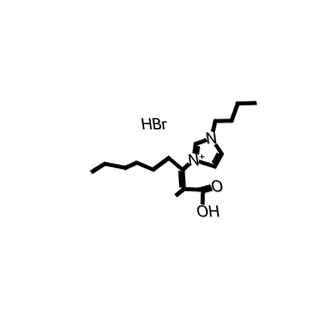 Br.CCCCCCC(=C(C)C(=O)O)[n+]1ccn(CCCC)c1